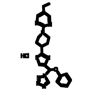 CCc1cnc(N2CCC(c3nc(C(Oc4ccccc4)n4cnnn4)cs3)CC2)nc1.Cl